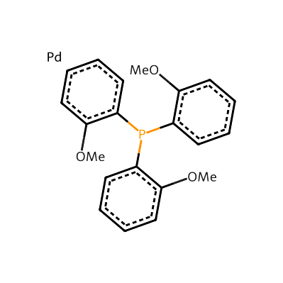 COc1ccccc1P(c1ccccc1OC)c1ccccc1OC.[Pd]